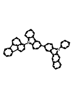 c1ccc(-n2c3ccc(-c4ccc5c(c4)c4ccccc4n5-c4ccc5c6c(cccc46)-c4ccccc4-5)cc3c3cc4ccccc4cc32)cc1